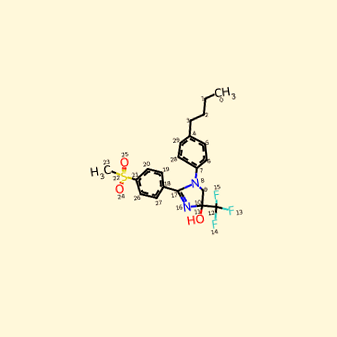 CCCCc1ccc(N2CC(O)(C(F)(F)F)N=C2c2ccc(S(C)(=O)=O)cc2)cc1